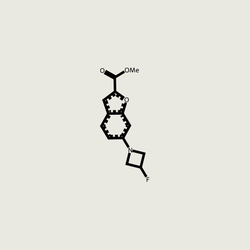 COC(=O)c1cc2ccc(N3CC(F)C3)cc2o1